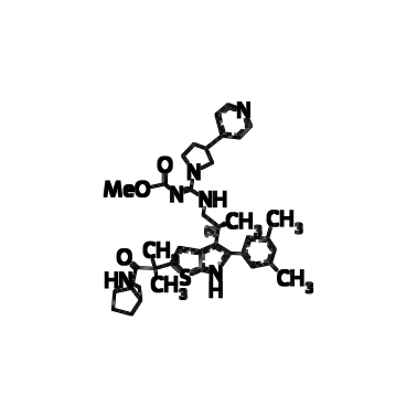 COC(=O)N=C(NC[C@@H](C)c1c(-c2cc(C)cc(C)c2)[nH]c2sc(C(C)(C)C(=O)C3C4CCC3NC4)cc12)N1CCC(c2ccncc2)C1